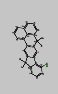 CC1(C)c2cc3c(cc2-c2c(Cl)cccc21)C(C)(C)c1cccc2cccc-3c12